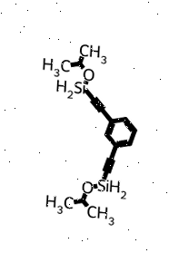 CC(C)O[SiH2]C#Cc1cccc(C#C[SiH2]OC(C)C)c1